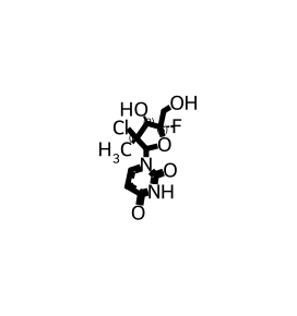 C[C@]1(Cl)C(n2ccc(=O)[nH]c2=O)O[C@](F)(CO)[C@H]1O